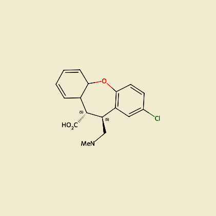 CNC[C@@H]1c2cc(Cl)ccc2OC2C=CC=CC2[C@H]1C(=O)O